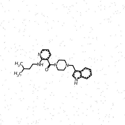 CC(C)CCNc1ncccc1C(=O)N1CCN(Cc2c[nH]c3ccccc23)CC1